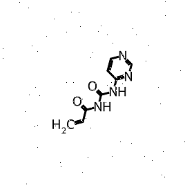 C=CC(=O)NC(=O)Nc1ccncn1